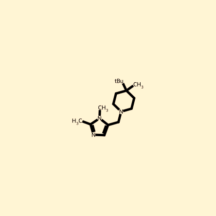 Cc1ncc(CN2CCC(C)(C(C)(C)C)CC2)n1C